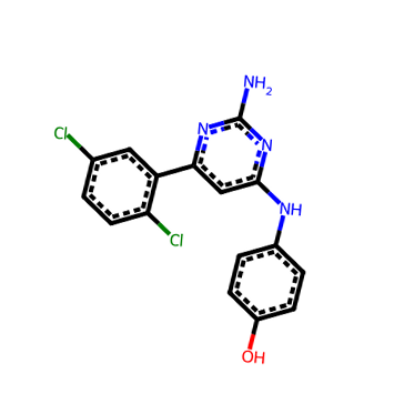 Nc1nc(Nc2ccc(O)cc2)cc(-c2cc(Cl)ccc2Cl)n1